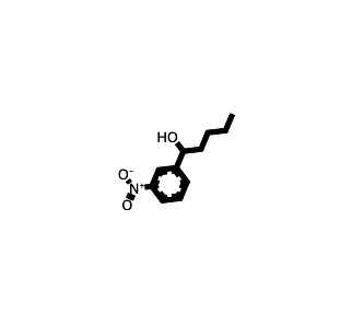 CCCCC(O)c1cccc([N+](=O)[O-])c1